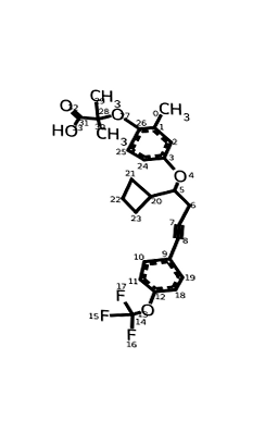 Cc1cc(OC(CC#Cc2ccc(OC(F)(F)F)cc2)C2CCC2)ccc1OC(C)(C)C(=O)O